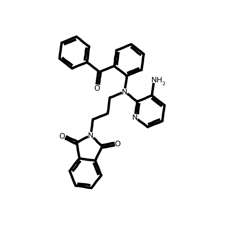 Nc1cccnc1N(CCCN1C(=O)c2ccccc2C1=O)c1ccccc1C(=O)c1ccccc1